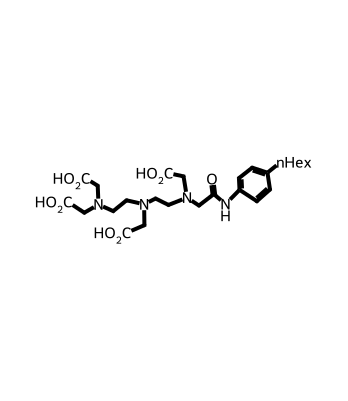 CCCCCCc1ccc(NC(=O)CN(CCN(CCN(CC(=O)O)CC(=O)O)CC(=O)O)CC(=O)O)cc1